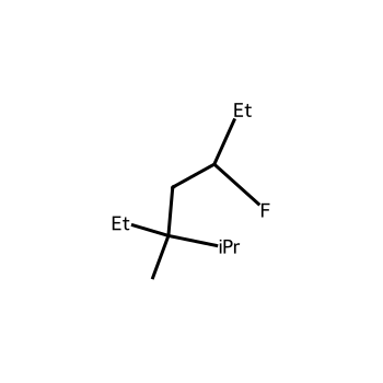 CCC(F)CC(C)(CC)C(C)C